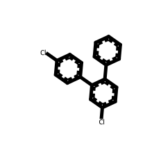 Clc1ccc(-c2cc(Cl)ccc2-c2ccccc2)cc1